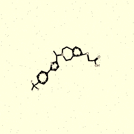 CC(c1ccc(-c2ccc(C(C)(F)F)cc2)s1)N1CCc2ccc(OCC(=O)O)cc2CC1